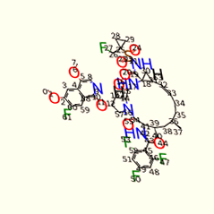 COc1cc2c(OC)cnc(O[C@@H]3C[C@H]4C(=O)N[C@]5(C(=O)NS(=O)(=O)C6(CF)CC6)C[C@H]5C=CCC[C@@H](C)C[C@@H](C)[C@H](NC(=O)c5c(F)cc(F)cc5F)C(=O)N4C3)c2cc1F